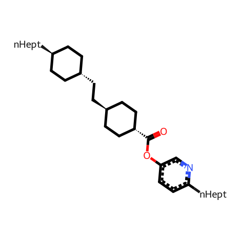 CCCCCCCc1ccc(OC(=O)[C@H]2CC[C@H](CC[C@H]3CC[C@H](CCCCCCC)CC3)CC2)cn1